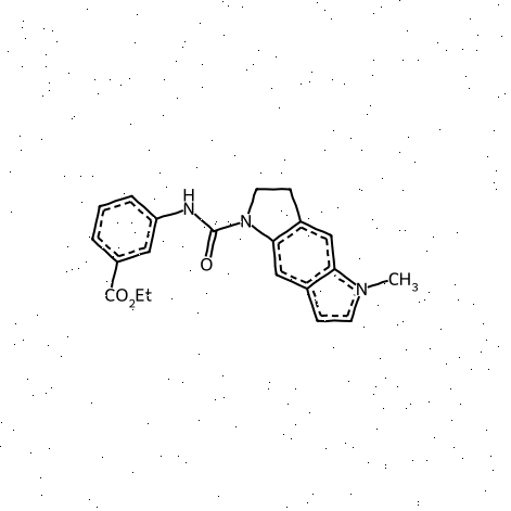 CCOC(=O)c1cccc(NC(=O)N2CCc3cc4c(ccn4C)cc32)c1